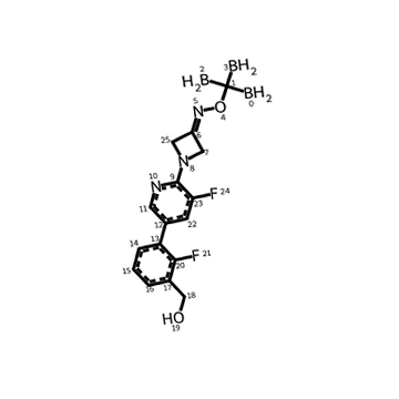 BC(B)(B)ON=C1CN(c2ncc(-c3cccc(CO)c3F)cc2F)C1